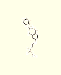 CC(C)(C)OC(=O)NCCOc1ccc2c(c1)CSP(=O)(Oc1ccccc1)SC2